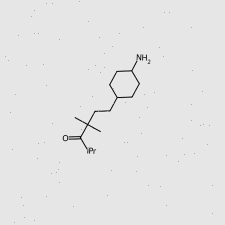 CC(C)C(=O)C(C)(C)CCC1CCC(N)CC1